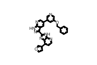 c1ccc(COc2cncc(-c3cnc4[nH]nc(-c5nc6c(-c7ccoc7)ccnc6[nH]5)c4c3)c2)cc1